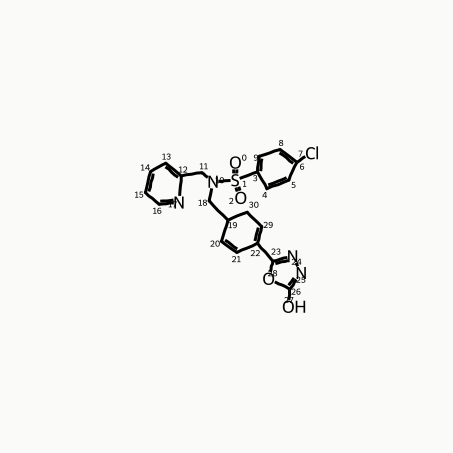 O=S(=O)(c1ccc(Cl)cc1)N(Cc1ccccn1)CC1C=CC(c2nnc(O)o2)=CC1